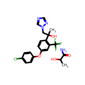 CC(O)(Cn1cncn1)c1ccc(Oc2ccc(Cl)cc2)cc1C(F)(F)F.CC(O)C(N)=O